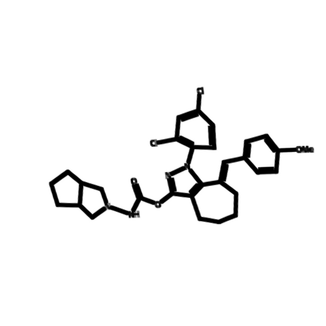 COc1ccc(/C=C2\CCCCc3c(OC(=O)NN4CC5CCCC5C4)nn(-c4ccc(Cl)cc4Cl)c32)cc1